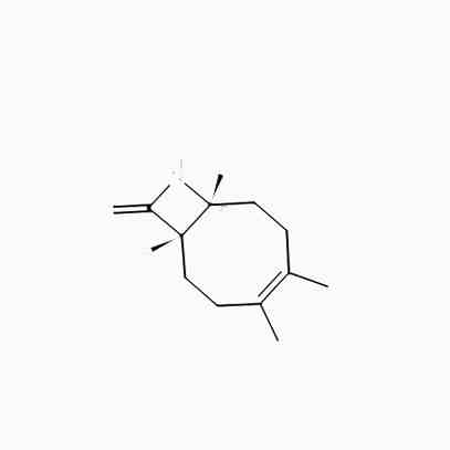 C/C1=C(\C)CC[C@H]2NC(=O)[C@H]2CC1